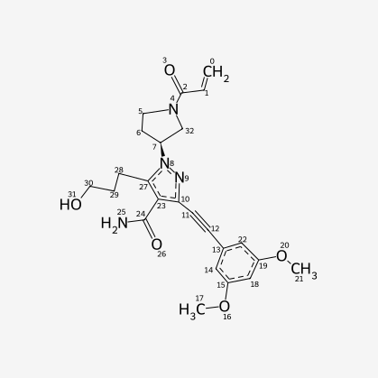 C=CC(=O)N1CC[C@H](n2nc(C#Cc3cc(OC)cc(OC)c3)c(C(N)=O)c2CCCO)C1